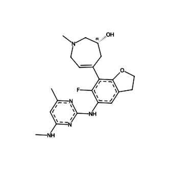 CNc1cc(C)nc(Nc2cc3c(c(C4=CCN(C)C[C@H](O)C4)c2F)OCC3)n1